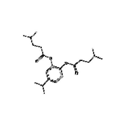 CC(C)CCC(=O)Oc1ccc(C(C)C)cc1OC(=O)CCC(C)C